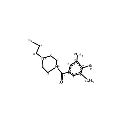 Cc1cc(C(=O)N2CCN(CCF)CC2)cc(C)c1Br